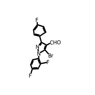 O=Cc1c(-c2ccc(F)cc2)nn(-c2ccc(F)cc2F)c1Br